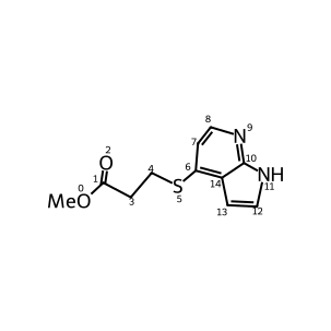 COC(=O)CCSc1ccnc2[nH]ccc12